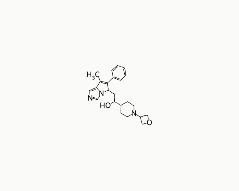 CC1=C(c2ccccc2)C(CC(O)C2CCN(C3COC3)CC2)n2cncc21